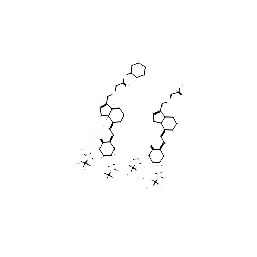 C=C1C(=CC=C2CCC[C@]3(C)C([C@H](C)OCC(=O)O)=CCC23)C[C@@H](O[Si](C)(C)C(C)(C)C)C[C@@H]1O[Si](C)(C)C(C)(C)C.C=C1C(=CC=C2CCC[C@]3(C)C([C@H](C)OCC(=O)OC4CCCCC4)=CC[C@@H]23)C[C@@H](O[Si](C)(C)C(C)(C)C)C[C@@H]1O[Si](C)(C)C(C)(C)C